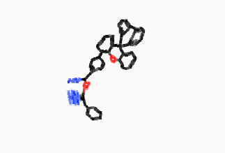 N=C(OC(=N)c1ccc(-c2cccc3c2Oc2ccccc2C32c3ccccc3-c3ccccc32)cc1)c1ccccc1